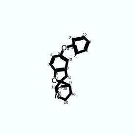 c1ccc(Oc2ccc3c(c2)CC2(CN4CCC2CC4)O3)cc1